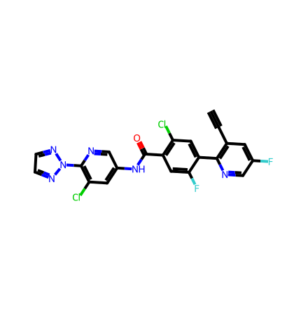 C#Cc1cc(F)cnc1-c1cc(Cl)c(C(=O)Nc2cnc(-n3nccn3)c(Cl)c2)cc1F